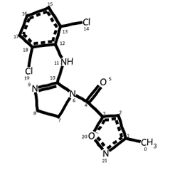 Cc1cc(C(=O)N2CCN=C2Nc2c(Cl)cccc2Cl)on1